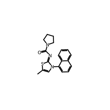 Cc1cn(-c2cccc3ccccc23)c(=NC(=O)N2CCCC2)s1